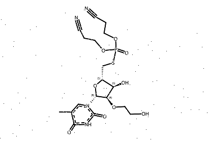 Cc1cn([C@@H]2O[C@H](CSP(=O)(OCCC#N)OCCC#N)[C@@H](O)[C@H]2OCCO)c(=O)[nH]c1=O